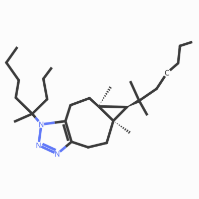 CCCCCC(C)(C)[C@@H]1[C@]2(C)CCc3c(nnn3C(C)(CCC)CCCC)CC[C@]12C